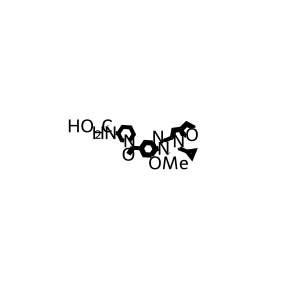 COc1cc(C(=O)N2CCCC(NC(=O)O)C2)cc2nc(-c3cc4ccoc4n3CC3CC3)n(C)c12